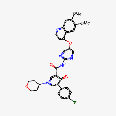 COc1cc2nccc(Oc3cnc(NC(=O)c4cn(C5CCOCC5)cc(-c5ccc(F)cc5)c4=O)nc3)c2cc1OC